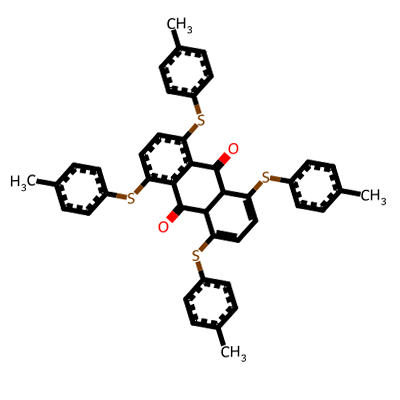 Cc1ccc(SC2=CC=C(Sc3ccc(C)cc3)C3C(=O)c4c(Sc5ccc(C)cc5)ccc(Sc5ccc(C)cc5)c4C(=O)C23)cc1